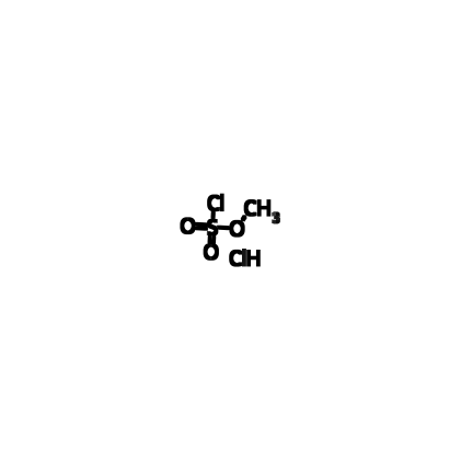 COS(=O)(=O)Cl.Cl